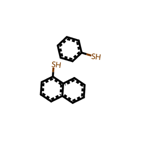 Sc1cccc2ccccc12.Sc1ccccc1